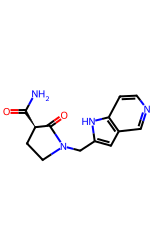 NC(=O)[C@@H]1CCN(Cc2cc3cnccc3[nH]2)C1=O